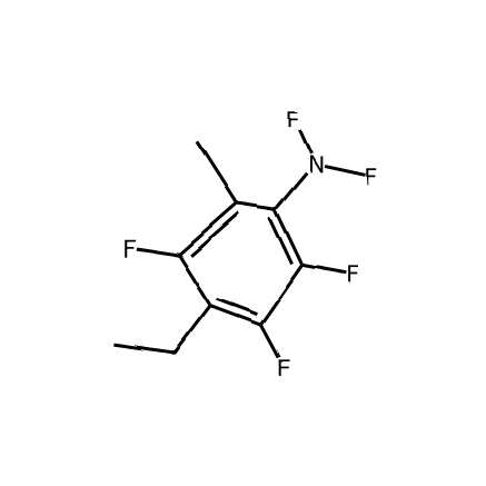 CCc1c(F)c(C)c(N(F)F)c(F)c1F